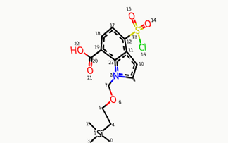 C[Si](C)(C)CCOCn1ccc2c(S(=O)(=O)Cl)ccc(C(=O)O)c21